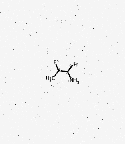 CC(C)C(N)C(C)F